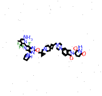 Cc1cc(N)nc(-c2ncc3c(N4CC5CCC(C4)N5)nc(OCC4(CN5CCC6(CC5)CC(CN5CCN(c7ccc8c(c7)CN([C@H]7CCC(=O)NC7=O)C8=O)CC5)C6)CC4)nc3c2F)c1C(F)(F)F